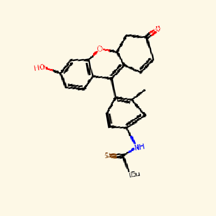 Cc1cc(NC(=S)C(C)(C)C)ccc1C1=C2C=CC(=O)CC2Oc2cc(O)ccc21